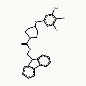 Nc1c(O)cc(OC2CCN(C(=O)OCC3c4ccccc4-c4ccccc43)CC2)cc1O